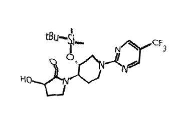 CC(C)(C)[Si](C)(C)O[C@@H]1CN(c2ncc(C(F)(F)F)cn2)CC[C@H]1N1CCC(O)C1=O